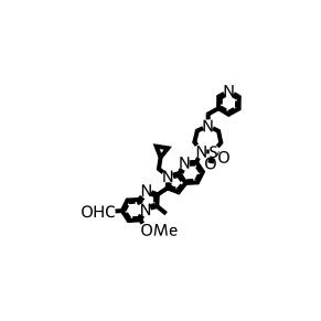 COc1cc(C=O)cc2nc(-c3cc4ccc(N5CCN(Cc6cccnc6)CCS5(=O)=O)nc4n3CC3CC3)c(C)n12